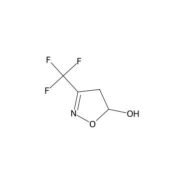 OC1CC(C(F)(F)F)=NO1